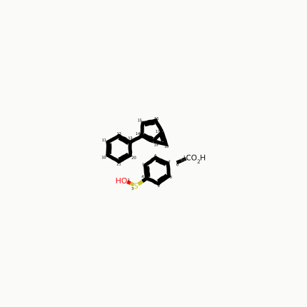 CC(=O)O.OSc1ccccc1.c1ccc(-c2ccc3cc2-3)cc1